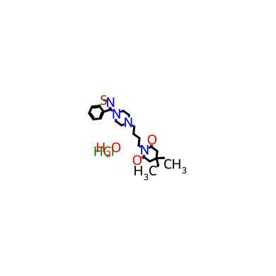 CCC1(CC)CC(=O)N(CCCCN2CCN(c3nsc4ccccc34)CC2)C(=O)C1.Cl.O